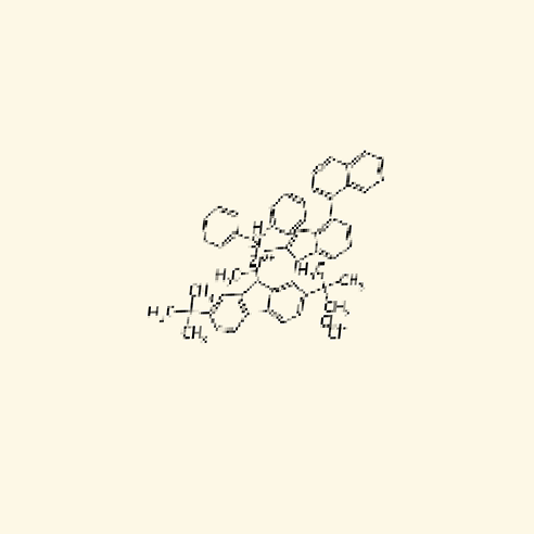 CCCC1=Cc2c(-c3cccc4ccccc34)cccc2C1c1c(C(C)(C)C)ccc2c1[CH]([Zr+2][SiH](c1ccccc1)c1ccccc1)c1cc(C(C)(C)C)ccc1-2.[Cl-].[Cl-]